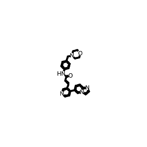 O=C(C=Cc1cnccc1-c1ccc2nccn2c1)Nc1ccc(CN2CCOCC2)cc1